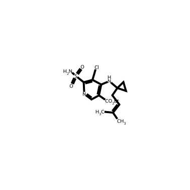 CCOC(=O)c1cnc(S(N)(=O)=O)c(Cl)c1NC1(CC=C(C)C)CC1